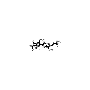 CSc1c2sc(C3=C(C(=O)[O-])N4C(=O)[C@H]([C@@H](C)O)[C@H]4[C@H]3C)c[n+]2cn1CCC(N)=O